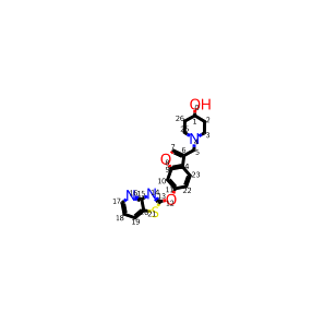 OC1CCN(Cc2coc3cc(Oc4nc5ncccc5s4)ccc23)CC1